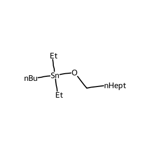 CCCCCCCC[O][Sn]([CH2]C)([CH2]C)[CH2]CCC